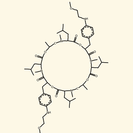 COCCNc1ccc(CC2OC(=O)C(CC(C)C)N(C)CC(C)OC(=O)C(CC(C)C)N(C)C(=O)C(Cc3ccc(NCCOC)cc3)OC(=O)C(CC(C)C)N(C)CC(C)OC(=O)C(CC(C)C)N(C)C2=O)cc1